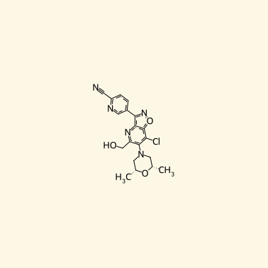 C[C@@H]1CN(c2c(CO)nc3c(-c4ccc(C#N)nc4)noc3c2Cl)C[C@H](C)O1